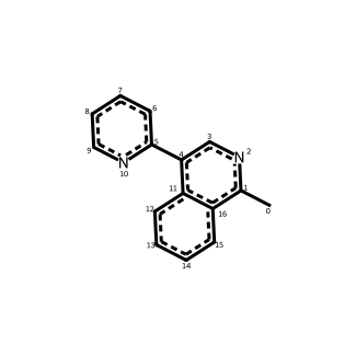 Cc1ncc(-c2ccccn2)c2ccccc12